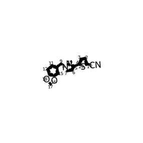 N#Cc1ccc(-c2ccn(Cc3ccc4c(c3)OCO4)n2)s1